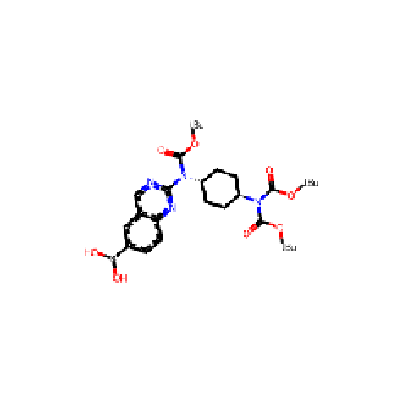 CC(C)(C)OC(=O)N(C(=O)OC(C)(C)C)[C@H]1CC[C@H](N(C(=O)OC(C)(C)C)c2ncc3cc(B(O)O)ccc3n2)CC1